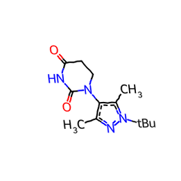 Cc1nn(C(C)(C)C)c(C)c1N1CCC(=O)NC1=O